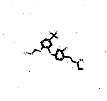 COCOc1ccc(C(F)(F)F)cc1Sc1ccc(CCC(N)C=O)c(Cl)c1